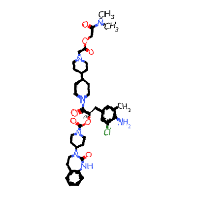 Cc1cc(C[C@@H](OC(=O)N2CCC(N3CCc4ccccc4NC3=O)CC2)C(=O)N2CCC(C3CCN(CC(=O)OCC(=O)N(C)C)CC3)CC2)cc(Cl)c1N